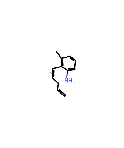 C=CC/C=C\c1c(C)cccc1N